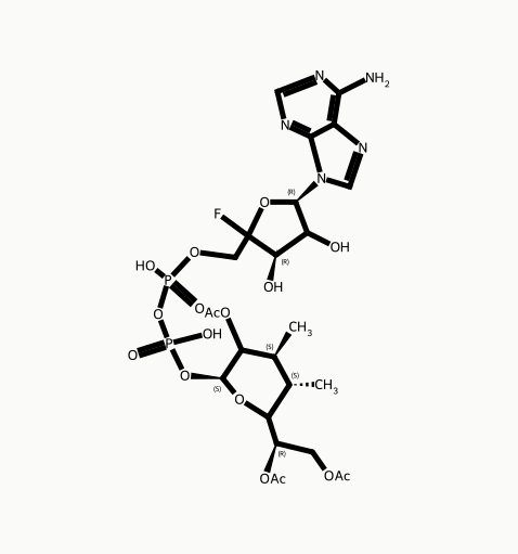 CC(=O)OC[C@@H](OC(C)=O)C1O[C@@H](OP(=O)(O)OP(=O)(O)OCC2(F)O[C@@H](n3cnc4c(N)ncnc43)C(O)[C@H]2O)C(OC(C)=O)[C@@H](C)[C@@H]1C